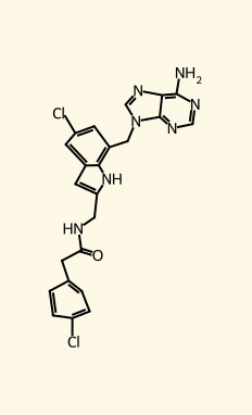 Nc1ncnc2c1ncn2Cc1cc(Cl)cc2cc(CNC(=O)Cc3ccc(Cl)cc3)[nH]c12